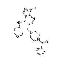 CCn1ncc2c(NC3CCOCC3)c(CN3CCN(C(=O)c4ccco4)CC3)cnc21